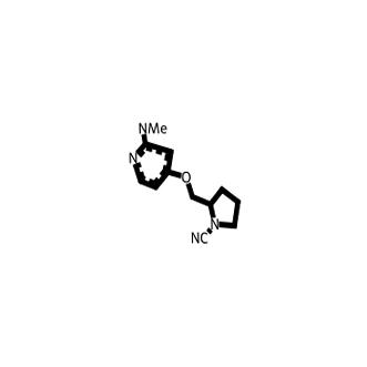 CNc1cc(OCC2CCCN2C#N)ccn1